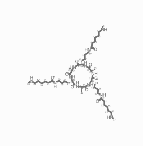 CNCCCCCC(=O)NCCCC[C@@H]1NC(=O)[C@@H](C)NC(=O)[C@H](CCCCNC(=O)CCCCCNC)NC(=O)[C@@H](C)NC(=O)[C@H](CCCCNC(=O)CCCCCNC)NC(=O)[C@@H](C)NC1=O